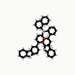 c1ccc(N(c2ccc(-c3ccc4sc5ccccc5c4c3)cc2)c2cccc3ccccc23)c(-c2ccc3sc4ccccc4c3c2)c1